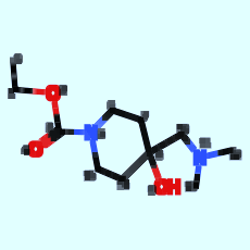 CCOC(=O)N1CCC(O)(CN(C)C)CC1